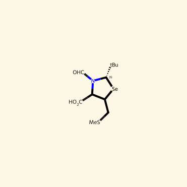 CSCC1[Se][C@@H](C(C)(C)C)N(C=O)C1C(=O)O